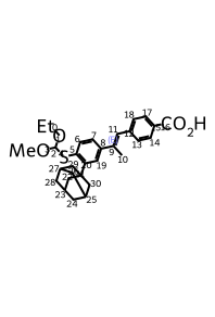 CCOC(OC)Sc1ccc(/C(C)=C/c2ccc(C(=O)O)cc2)cc1C12CC3CC(CC(C3)C1)C2